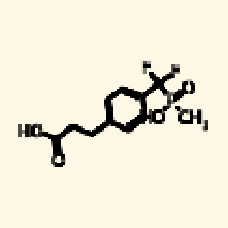 CP(=O)(O)C(F)(F)c1ccc(CCC(=O)O)cc1